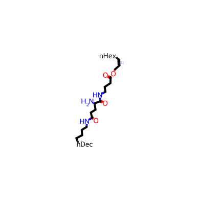 CCCCCC/C=C\COC(=O)CCCNC(=O)C(N)CCC(=O)NCCCCCCCCCCCCCC